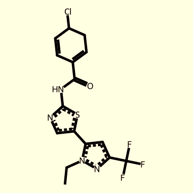 CCn1nc(C(F)(F)F)cc1-c1cnc(NC(=O)C2=CCC(Cl)C=C2)s1